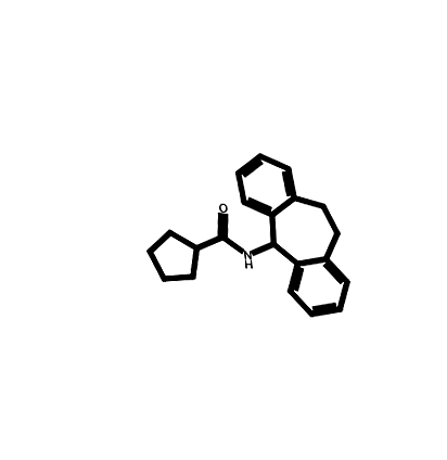 O=C(NC1c2ccccc2CCc2ccccc21)C1CCCC1